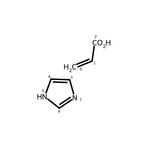 C=CC(=O)O.c1c[nH]cn1